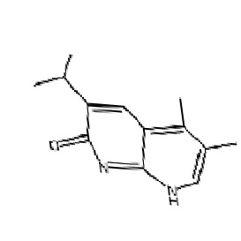 Cc1c[nH]c2nc(=O)c(C(C)C)cc-2c1C